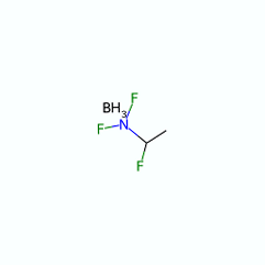 B.CC(F)N(F)F